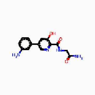 NC(=O)CNC(=O)c1ncc(-c2cccc(N)c2)cc1O